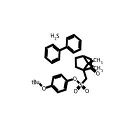 CC(C)(C)Oc1ccc(OS(=O)(=O)CC23CCC(CC2=O)C3(C)C)cc1.S.c1ccc(-c2ccccc2)cc1